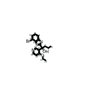 CCCC(O)(c1nc2cccc(Br)c2s1)c1cnccc1OCC